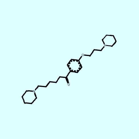 O=C(CCCCCN1CCCCC1)c1ccc(OCCCN2CCCCC2)cc1